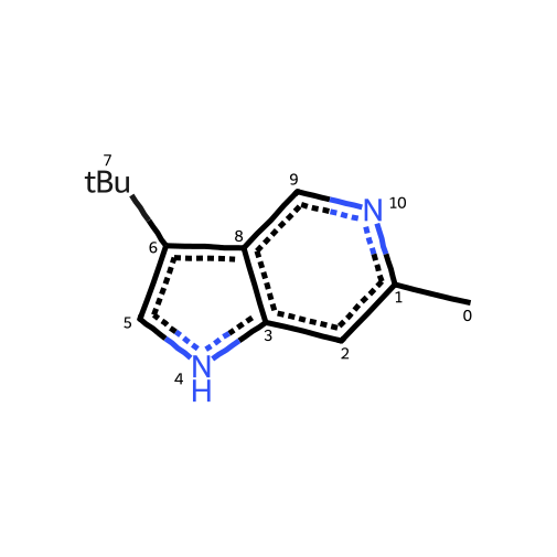 Cc1cc2[nH]cc(C(C)(C)C)c2cn1